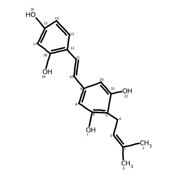 CC(C)=CCc1c(O)cc(C=Cc2ccc(O)cc2O)cc1O